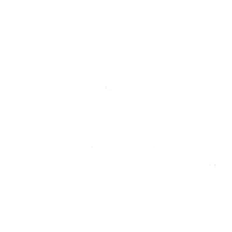 CC(=O)[C@H](CCNCC(O)C(F)(F)F)c1ccc(Br)cc1